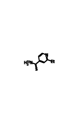 CCc1cc(C([15NH2])=S)ccn1